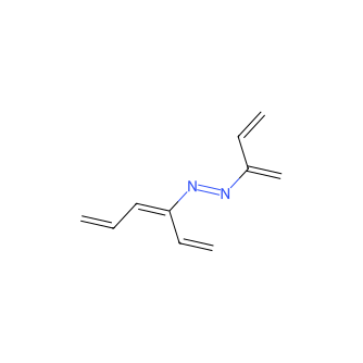 C=C/C=C(C=C)/N=N/C(=C)C=C